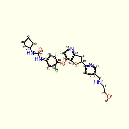 COCCNCc1ccc(C2Cc3nccc(Oc4ccc(NC(=O)NC5CCCC5)cc4F)c3S2)nc1